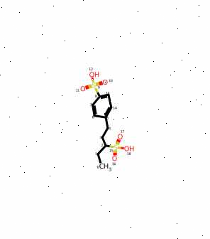 CCC(CCc1ccc(S(=O)(=O)O)cc1)S(=O)(=O)O